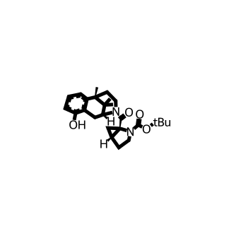 CC(C)(C)OC(=O)N1CC[C@@H]2C[C@@]21C(=O)N1CC[C@@]2(C)c3cccc(O)c3C[C@@H]1C2(C)C